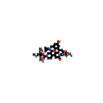 COCCCc1cc(Br)cc(CN(C(=O)C2CN(C(=O)OC(C)(C)C)CCC2c2ccn(C)c(=O)c2)C2CC2)c1